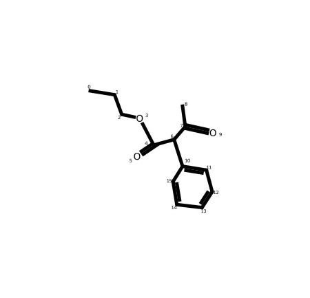 CCCOC(=O)C(C(C)=O)c1ccccc1